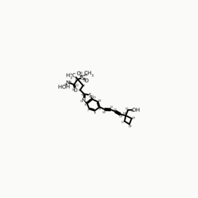 CC(CCc1nc2ccc(C#CC#CC3(CO)CCC3)cc2s1)(C(=O)NO)S(C)(=O)=O